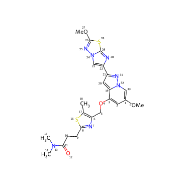 COc1cc(OCc2nc(CCC(=O)N(C)C)sc2C)c2cc(-c3cn4nc(OC)sc4n3)nn2c1